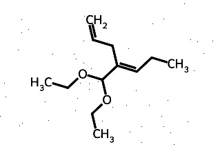 C=CC/C(=C\CC)C(OCC)OCC